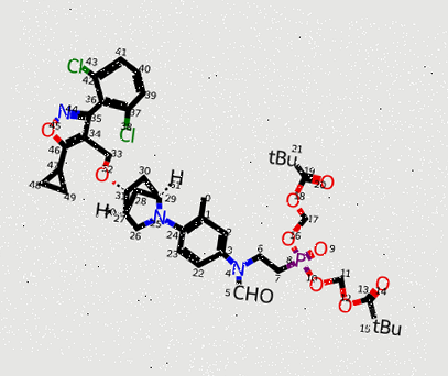 Cc1cc(N(C=O)CCP(=O)(OCOC(=O)C(C)(C)C)OCOC(=O)C(C)(C)C)ccc1N1C[C@@H]2C[C@H]1C[C@H]2OCc1c(-c2c(Cl)cccc2Cl)noc1C1CC1